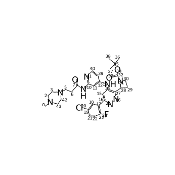 CN1CCN(CCC(=O)Nc2cc(Nc3cc(-c4cc(Cl)ccc4F)nnc3C3CCN3C(=O)OC(C)(C)C)ccn2)CC1